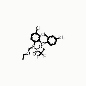 CCOCN(c1ccc(Cl)cc1Oc1ccc(Cl)cc1Cl)S(=O)(=O)C(F)(F)F